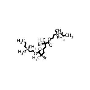 CCC[N+](C)(C)CCOC(=O)C(C)(Br)CCCC(C)(Br)C(=O)OCC[N+](C)(C)CCC